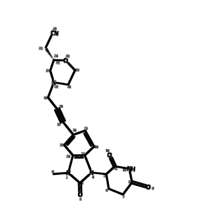 Cn1c(=O)n(C2CCC(=O)NC2=O)c2ccc(C#CCN3CCO[C@@H](CC#N)C3)cc21